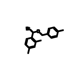 CCC(OCc1ccc(C)cc1)c1ccc(C)cc1C